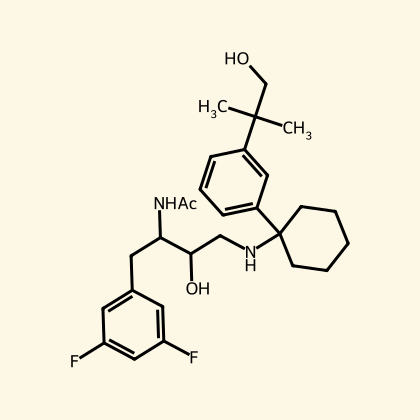 CC(=O)NC(Cc1cc(F)cc(F)c1)C(O)CNC1(c2cccc(C(C)(C)CO)c2)CCCCC1